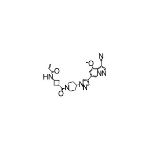 C=CC(=O)N[C@H]1C[C@@H](C(=O)N2CCC(n3cc(-c4cc(OC)c5c(C#N)cnn5c4)cn3)CC2)C1